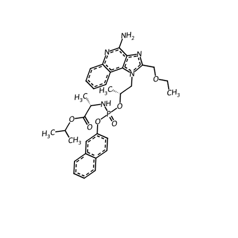 CCOCc1nc2c(N)nc3ccccc3c2n1C[C@@H](C)OP(=O)(N[C@@H](C)C(=O)OC(C)C)Oc1ccc2ccccc2c1